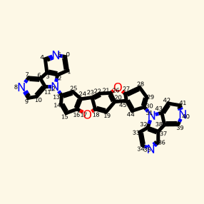 c1cc2c(cn1)c1cnccc1n2-c1ccc2oc3cc4c(cc3c2c1)oc1ccc(-n2c3ccncc3c3cnccc32)cc14